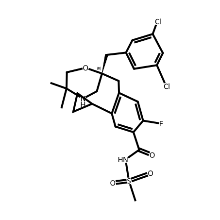 CC1(C)CO[C@](Cc2cc(Cl)cc(Cl)c2)(Cc2cc(F)c(C(=O)NS(C)(=O)=O)cc2C2CC2)CN1